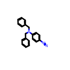 N#[N+]c1ccc(N(Cc2ccccc2)Cc2ccccc2)cc1